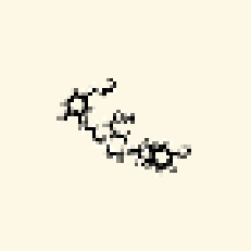 Cc1ccc(CC=O)cc1OCCN1CCN(c2nc3ccc(Cl)cc3s2)CC1CO